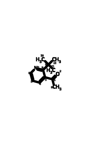 CC(=O)c1cccnc1C(C)(C)C